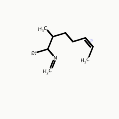 C=NC(CC)C(C)CC/C=C\C